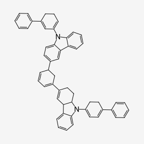 C1=CC(c2ccc3c(c2)c2ccccc2n3C2=CCCC(c3ccccc3)=C2)CC(C2=CC3c4ccccc4N(C4=CC=C(c5ccccc5)CC4)C3CC2)=C1